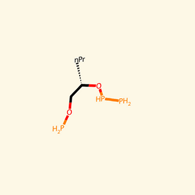 CCC[C@@H](COP)OPP